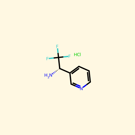 Cl.N[C@@H](c1cccnc1)C(F)(F)F